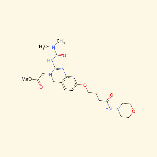 COC(=O)CN1Cc2ccc(OCCCC(=O)NN3CCOCC3)cc2N=C1NC(=O)N(C)C